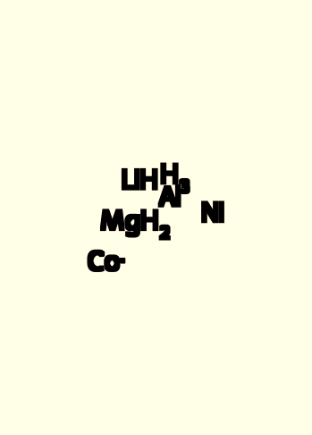 [AlH3].[Co].[LiH].[MgH2].[Ni]